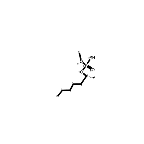 CCCCC[C@@H](C)OP(=O)(S)OC